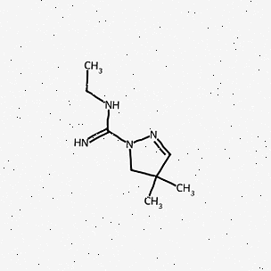 CCNC(=N)N1CC(C)(C)C=N1